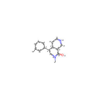 Cc1cccc(-c2cn(C)c(=O)c3cnccc23)c1